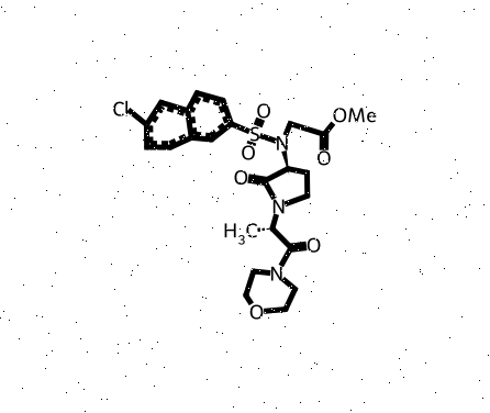 COC(=O)CN([C@H]1CCN([C@@H](C)C(=O)N2CCOCC2)C1=O)S(=O)(=O)c1ccc2cc(Cl)ccc2c1